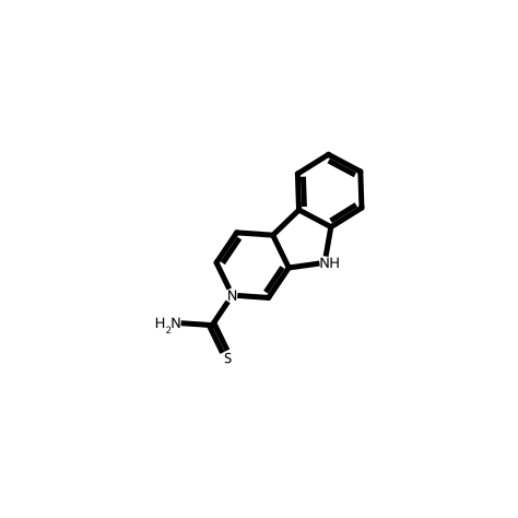 NC(=S)N1C=CC2C(=C1)Nc1ccccc12